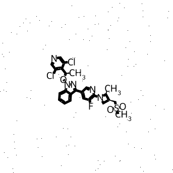 C[C@@H]1[C@@H](CS(C)(=O)=O)CN1c1ncc(-c2nn(O[C@H](C)c3c(Cl)cncc3Cl)c3ccccc23)cc1F